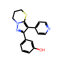 Oc1cccc(-c2nn3c(c2-c2ccncc2)SCCC3)c1